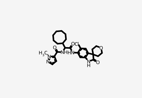 Cn1nccc1C(=O)NC(C(=O)Nc1cc2c(cc1Cl)C1(CCOCC1)C(=O)N2)C1CCCCCCC1